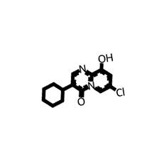 O=c1c(C2CCCCC2)cnc2c(O)cc(Cl)cn12